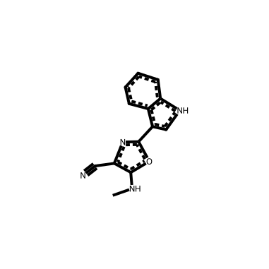 CNc1oc(-c2c[nH]c3ccccc23)nc1C#N